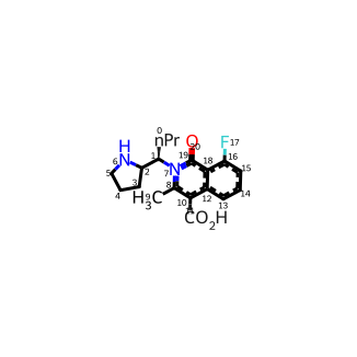 CCC[C@H](C1CCCN1)n1c(C)c(C(=O)O)c2cccc(F)c2c1=O